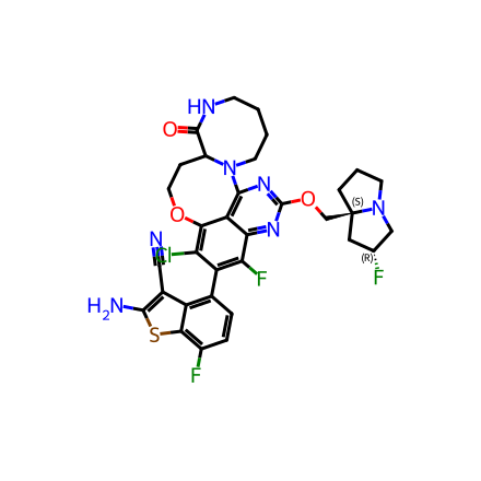 N#Cc1c(N)sc2c(F)ccc(-c3c(Cl)c4c5c(nc(OC[C@@]67CCCN6C[C@H](F)C7)nc5c3F)N3CCCCNC(=O)C3CCO4)c12